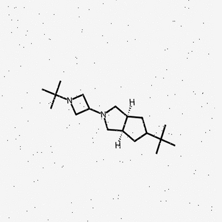 CC(C)(C)C1C[C@@H]2CN(C3CN(C(C)(C)C)C3)C[C@@H]2C1